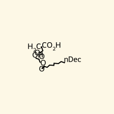 C=C(CC(=O)OC(CO)COC(=O)CCCCCCCCCCCCCCCCC)C(=O)O